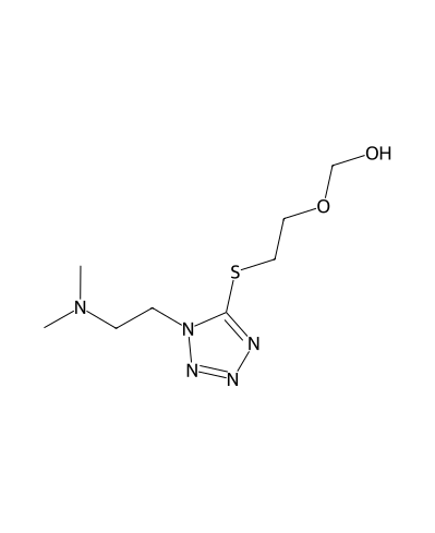 CN(C)CCn1nnnc1SCCOCO